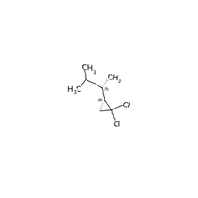 CC(C)[C@H](C)[C@H]1CC1(Cl)Cl